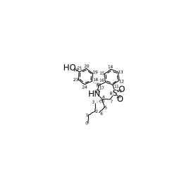 CCCC[C@@]1(CC)CS(=O)(=O)c2ccccc2[C@@H](c2ccc(O)cc2)N1